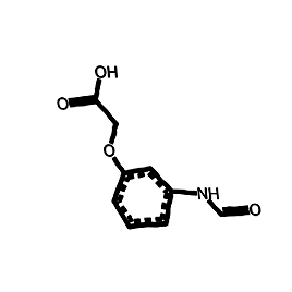 O=CNc1cccc(OCC(=O)O)c1